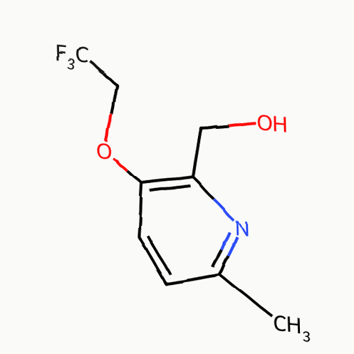 Cc1ccc(OCC(F)(F)F)c(CO)n1